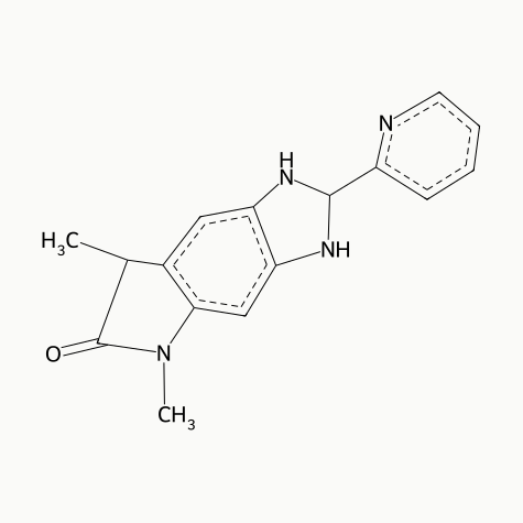 CC1C(=O)N(C)c2cc3c(cc21)NC(c1ccccn1)N3